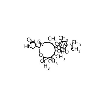 CO[C@]1(C)C[C@@H](C)CN(C)[C@@H]([C@H]2CNC(=O)C2)COC(=O)C(C)(C)C(=O)[C@H](C)[C@H]1O[C@@H]1O[C@H](C)C[C@H](N(C)C)[C@H]1O